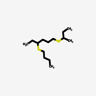 [CH2]CC(CCCSC(C)CC)SCCCC